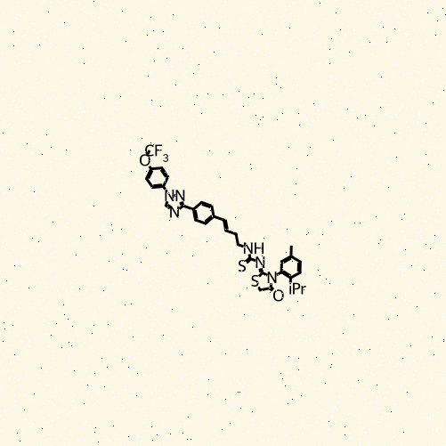 Cc1ccc(C(C)C)c(N2C(=O)CS/C2=N\C(=S)NCC/C=C/c2ccc(-c3ncn(-c4ccc(OC(F)(F)F)cc4)n3)cc2)c1